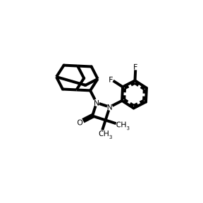 CC1(C)C(=O)N(C2C3CC4CC(C3)CC2C4)N1c1cccc(F)c1F